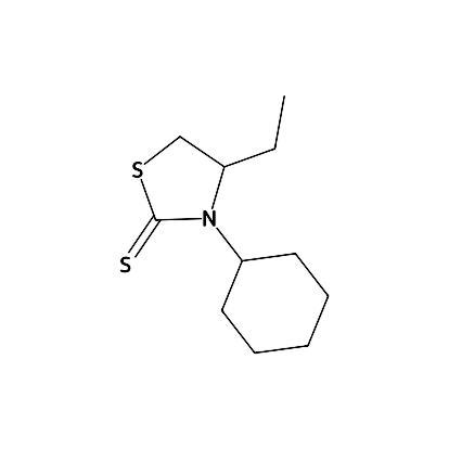 CCC1CSC(=S)N1C1CCCCC1